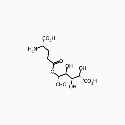 N[C@@H](CCC(=O)O[C@@H](C=O)[C@@H](O)[C@H](O)[C@H](O)C(=O)O)C(=O)O